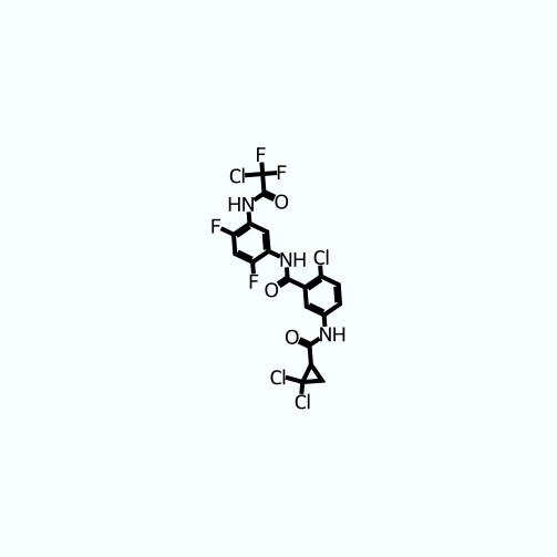 O=C(Nc1cc(NC(=O)C(F)(F)Cl)c(F)cc1F)c1cc(NC(=O)C2CC2(Cl)Cl)ccc1Cl